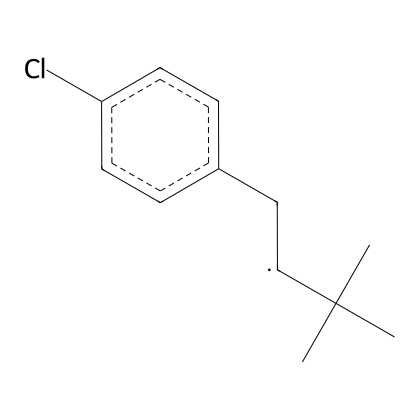 CC(C)(C)[CH]Cc1ccc(Cl)cc1